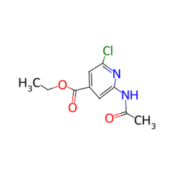 CCOC(=O)c1cc(Cl)nc(NC(C)=O)c1